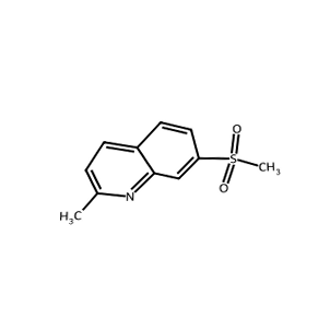 Cc1ccc2ccc(S(C)(=O)=O)cc2n1